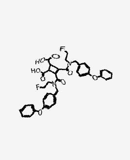 O=C(O)C1C(C(=O)O)C(C(=O)N(CCF)Cc2ccc(Oc3ccccc3)cc2)C1C(=O)N(CCF)Cc1ccc(Oc2ccccc2)cc1